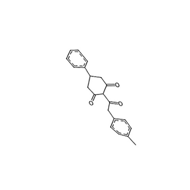 Cc1ccc(CC(=O)C2C(=O)CC(c3ccccc3)CC2=O)cc1